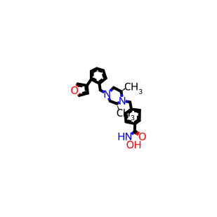 C[C@@H]1CN(Cc2ccccc2-c2ccoc2)C[C@H](C)N1Cc1ccc(C(=O)NO)cc1